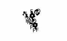 C[C@H](CN(C)C)Nc1cc(F)c(N2CCOCC2)cc1C(=O)N[C@H](C)c1cccc(C(F)F)c1F